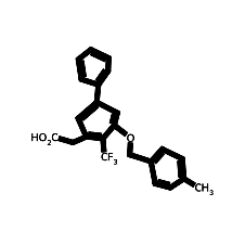 Cc1ccc(COc2cc(-c3ccccc3)cc(CC(=O)O)c2C(F)(F)F)cc1